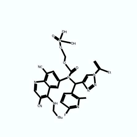 C=C(CC)n1cc(C(c2ccc(F)nc2C)N(C(=O)OCOP(=O)(O)O)c2cc(C#N)c3ncc(C#N)c(NCC(C)(C)C)c3c2)nn1